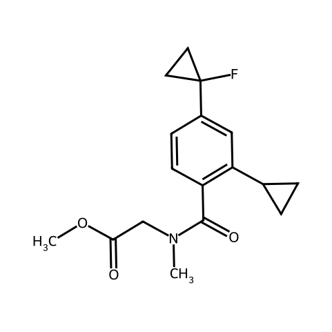 COC(=O)CN(C)C(=O)c1ccc(C2(F)CC2)cc1C1CC1